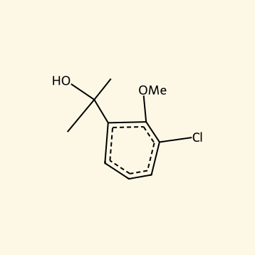 COc1c(Cl)cccc1C(C)(C)O